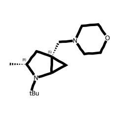 C[C@@H]1C[C@@]2(CN3CCOCC3)CC2N1C(C)(C)C